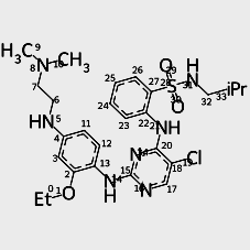 CCOc1cc(NCCN(C)C)ccc1Nc1ncc(Cl)c(Nc2ccccc2S(=O)(=O)NCC(C)C)n1